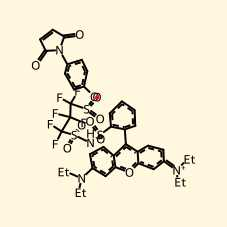 CCN(CC)c1ccc2c(-c3ccccc3S(=O)(=O)NS(=O)(=O)C(F)(F)C(F)(F)C(F)(F)S(=O)(=O)Oc3ccc(N4C(=O)C=CC4=O)cc3)c3ccc(=[N+](CC)CC)cc-3oc2c1